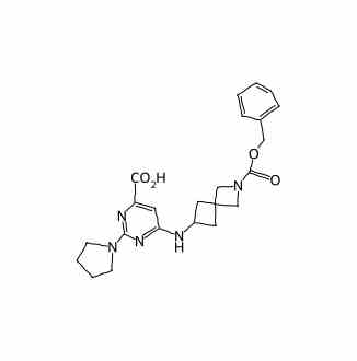 O=C(O)c1cc(NC2CC3(C2)CN(C(=O)OCc2ccccc2)C3)nc(N2CCCC2)n1